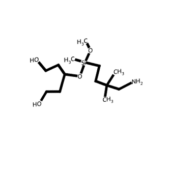 CO[Si](C)(CCC(C)(C)CN)OC(CCO)CCO